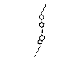 CCCCCCc1ccc2cc(C#Cc3ccc([C@H]4CC[C@H](CCCCC)CC4)cc3)ccc2c1